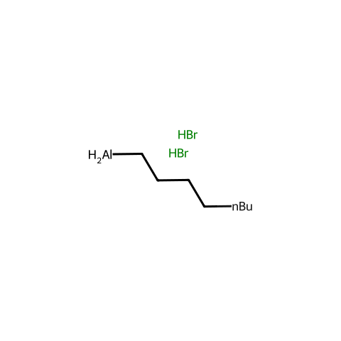 Br.Br.CCCCCCC[CH2][AlH2]